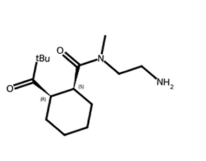 CN(CCN)C(=O)[C@H]1CCCC[C@H]1C(=O)C(C)(C)C